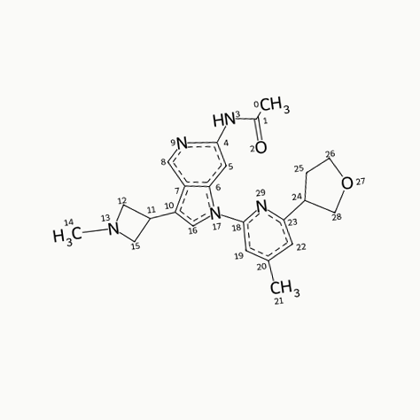 CC(=O)Nc1cc2c(cn1)c(C1CN(C)C1)cn2-c1cc(C)cc(C2CCOC2)n1